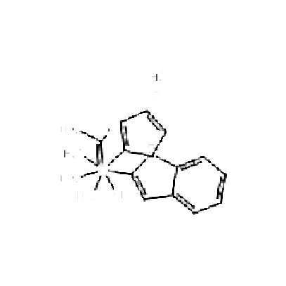 C[C](C)=[Ti]([CH3])([CH3])([CH3])([CH3])([C]1=CC=CC1)[c]1cc2ccccc2[nH]1.Cl.Cl